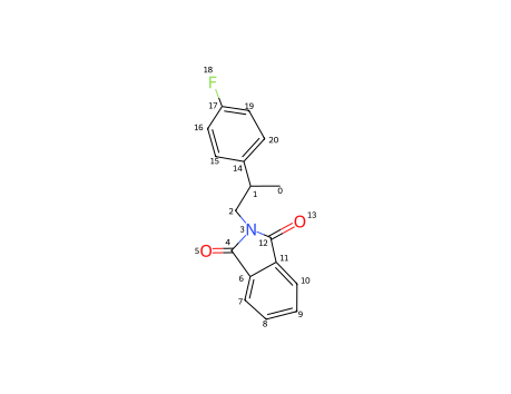 CC(CN1C(=O)c2ccccc2C1=O)c1ccc(F)cc1